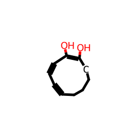 O/C1=C(\O)CCCCC#CC#C1